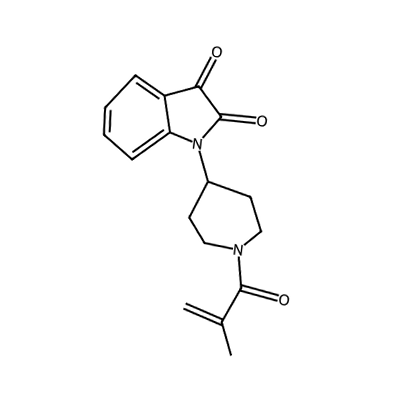 C=C(C)C(=O)N1CCC(N2C(=O)C(=O)c3ccccc32)CC1